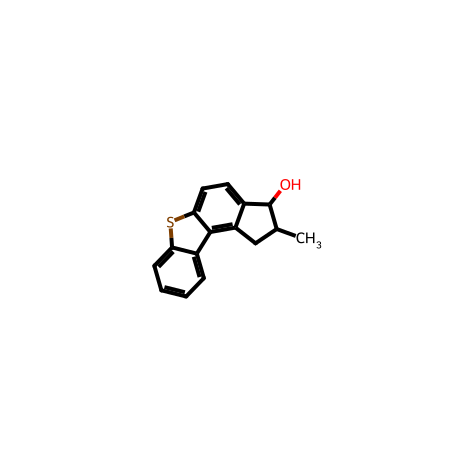 CC1Cc2c(ccc3sc4ccccc4c23)C1O